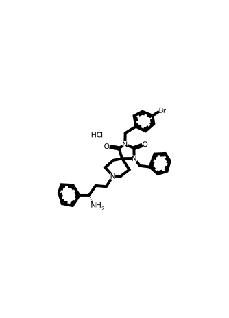 Cl.N[C@@H](CCN1CCC2(CC1)C(=O)N(Cc1ccc(Br)cc1)C(=O)N2Cc1ccccc1)c1ccccc1